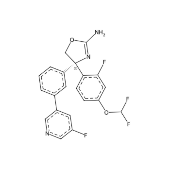 NC1=N[C@@](c2cccc(-c3cncc(F)c3)c2)(c2ccc(OC(F)F)cc2F)CO1